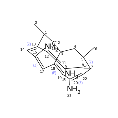 CC1CC2CC(C)C3=C\C(N)C=C\C1=C/C(N)=C/C2=C/C(N)=C/3